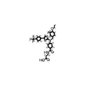 CCOc1ccc(CN(c2ccc(C(=O)NCCC(=O)O)cc2)c2nc(-c3ccc(C(F)(F)F)cc3)cs2)cc1C